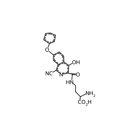 N#Cc1nc(C(=O)NCCC(N)C(=O)O)c(O)c2ccc(Oc3ccccc3)cc12